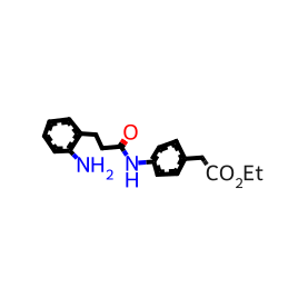 CCOC(=O)Cc1ccc(NC(=O)CCc2ccccc2N)cc1